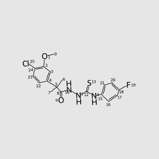 COc1cc(C(C)(C)C(=O)NNC(=S)Nc2ccc(F)cc2)ccc1Cl